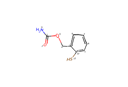 NC(=O)OCc1ccccc1S